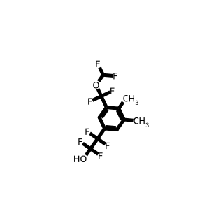 Cc1cc(C(F)(F)C(O)(F)F)cc(C(F)(F)OC(F)F)c1C